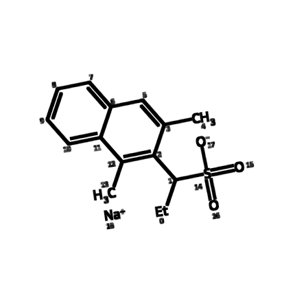 CCC(c1c(C)cc2ccccc2c1C)S(=O)(=O)[O-].[Na+]